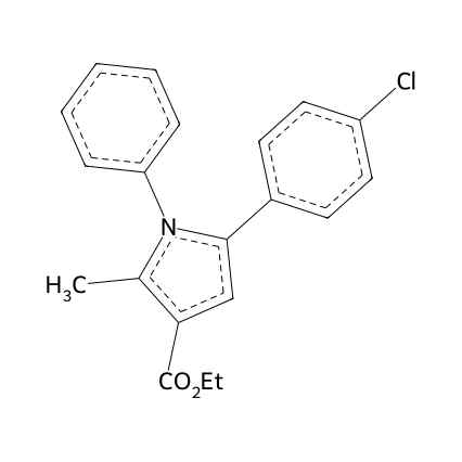 CCOC(=O)c1cc(-c2ccc(Cl)cc2)n(-c2ccccc2)c1C